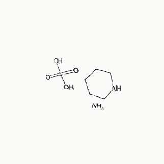 C1C[CH2][AlH][CH2]C1.N.O=S(=O)(O)O